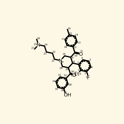 CCc1c(F)cccc1C1C(C(=O)c2ccc(C)cc2)CN(CCCCN(C)C)CC1C(=O)c1cccc(O)c1